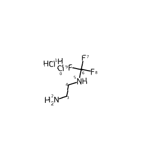 Cl.Cl.NCCNC(F)(F)F